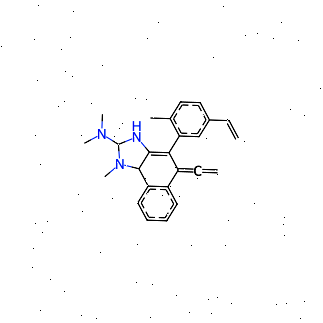 C=C=C1C(c2cc(C=C)ccc2C)=C2NC(N(C)C)N(C)C2c2ccccc21